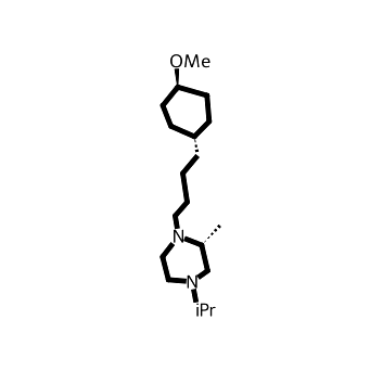 CO[C@H]1CC[C@H](CCCCN2CCN(C(C)C)C[C@H]2C)CC1